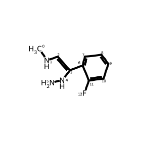 CN/C=C(\NN)c1ccccc1F